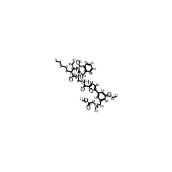 CCCCCC(C(=O)NCNC(=O)c1ccc(-c2cc(CN(C)CC(=O)OC)cc(OCC)c2)o1)[C@@H](CC)N(C=O)OCc1ccccc1